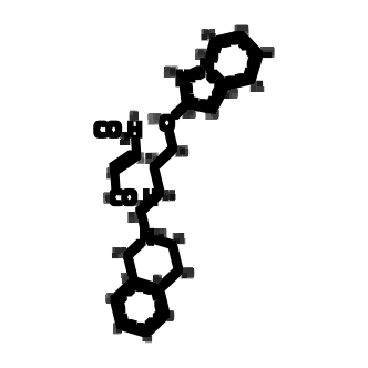 O=C(O)C=CC(=O)O.c1ccc2c(c1)CCN(CCCCOc1cc3ccccn3n1)C2